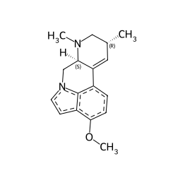 COc1ccc2c3c1ccn3C[C@@H]1C2=C[C@@H](C)CN1C